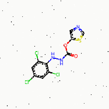 O=C(NNc1c(Cl)cc(Cl)cc1Cl)Oc1cncs1